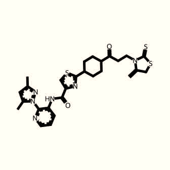 C=C1CSC(=S)N1CCC(=O)C1CCC(c2nc(C(=O)Nc3cccnc3-n3nc(C)cc3C)cs2)CC1